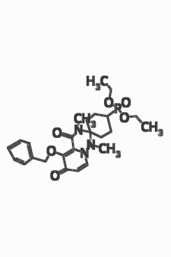 CCOP(=O)(OCC)C1CCC2(CC1)N(C)C(=O)c1c(OCc3ccccc3)c(=O)ccn1N2C